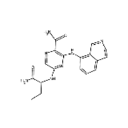 CCC(Nc1cnc(C(N)=O)c(Nc2cccc3ccncc23)n1)C(N)=O